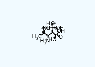 CC(=N)C(N)C(P(=O)(O)O)P(=O)(O)O